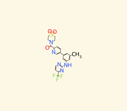 Cc1cc(Nc2nccc(C(F)(F)F)n2)cc(-c2ccc(C(=O)N3CCS(=O)(=O)CC3)nc2)c1